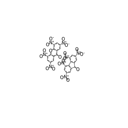 O=C1c2cc([N+](=O)[O-])cc([N+](=O)[O-])c2-c2c1cc([N+](=O)[O-])cc2[N+](=O)[O-].O=c1c2cc([N+](=O)[O-])cc([N+](=O)[O-])c2oc2c([N+](=O)[O-])cc([N+](=O)[O-])cc12